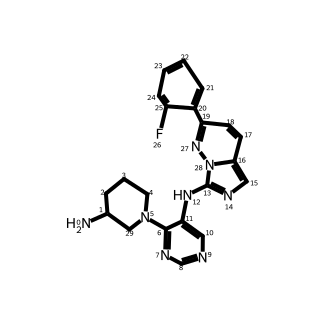 NC1CCCN(c2ncncc2Nc2ncc3ccc(-c4ccccc4F)nn23)C1